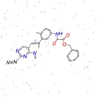 C=Nc1nc(NC)ncc1/C=C(\C)c1cc(NC(=O)C(=O)OCc2ccccc2)ccc1C